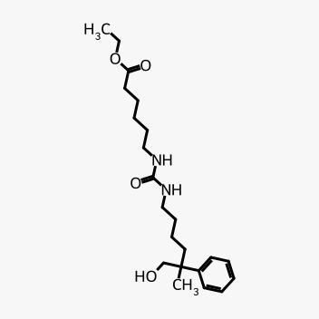 CCOC(=O)CCCCCNC(=O)NCCCCC(C)(CO)c1ccccc1